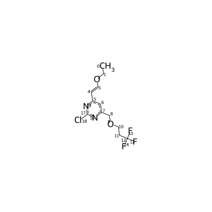 CCOC=Cc1cc(COCCC(F)(F)F)nc(Cl)n1